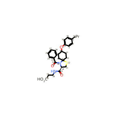 CC(C)c1ccc(OC2CCC3(CC2)SC[C@@H](C(=O)NCCC(=O)O)N3C(=O)c2ccccc2)cc1